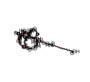 COc1ccc(C[C@@H]2NC(=O)[C@H]([C@@H](C)O)NC(=O)C3[C@@H]4CCN3C(=O)[C@@H]3Cc5cn(c6ccc(F)cc56)CCCCCCN(Cc5ccc(cc5)CCNC(=O)[C@]5(C)CCCN5C2=O)C(=O)CCC(=O)N[C@@H](C)C(=O)N[C@H](CNC(=O)CCOCCOCCNC(=O)CCCCCCCCCCCCCCCCC(=O)O)C(=O)N[C@@H](Cc2cccc(c2)CNC(=O)CO4)C(=O)N3)cc1